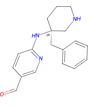 O=Cc1ccc(N[C@@]2(Cc3ccccc3)CCCNC2)nc1